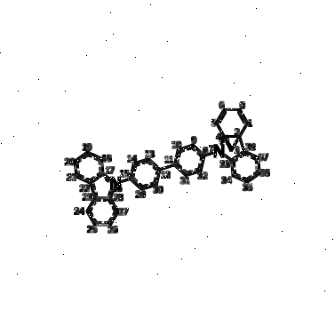 C1=CC23C[C@]2(C=C1)N(c1ccc(-c2ccc(-n4c5ccccc5c5ccccc54)cc2)cc1)c1ccccc13